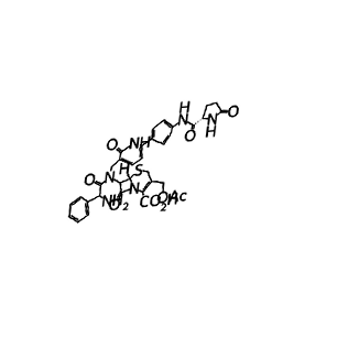 CC(=O)OCC1=C(C(=O)O)N2C(=O)C(N(Cc3ccc(-c4ccc(NC(=O)[C@@H]5CCC(=O)N5)cc4)[nH]c3=O)C(=O)C(N)c3ccccc3)[C@@H]2SC1